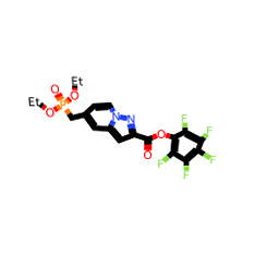 CCOP(=O)(Cc1ccn2nc(C(=O)Oc3c(F)c(F)c(F)c(F)c3F)cc2c1)OCC